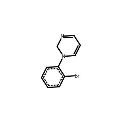 Brc1ccccc1N1C=CC=NC1